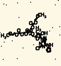 COCCOC(=O)OCOP(=O)(COC[C@H]1O[C@@H](n2ncc3c(NC4CCCC4)nc(Cl)nc32)[C@H](O)[C@@H]1C)OCOC(=O)OCCOC